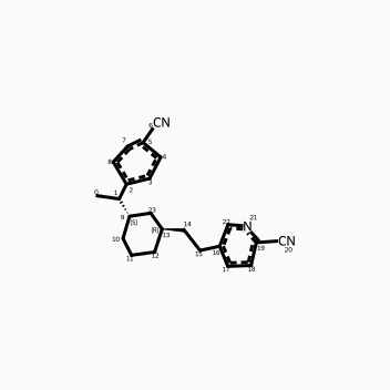 CC(c1ccc(C#N)cc1)[C@H]1CCC[C@H](CCc2ccc(C#N)nc2)C1